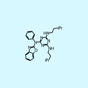 CC(C)CCNc1nc(NCCC(C)C)nc(N(c2ccccc2)c2nc3ccccc3o2)n1